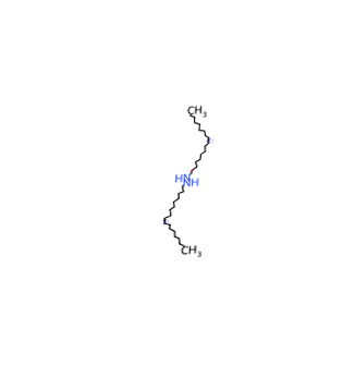 CCCCCCCC/C=C\CCCCCCCCNNCCCCCCCC/C=C\CCCCCCCC